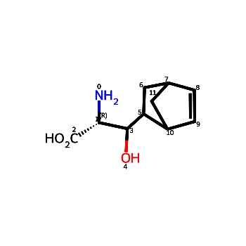 N[C@@H](C(=O)O)C(O)C1CC2C=CC1C2